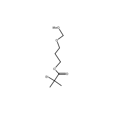 CCC(C)(C)C(=O)OCCCOCOC